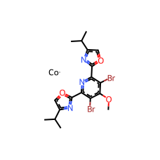 COc1c(Br)c(-c2nc(C(C)C)co2)nc(-c2nc(C(C)C)co2)c1Br.[Co]